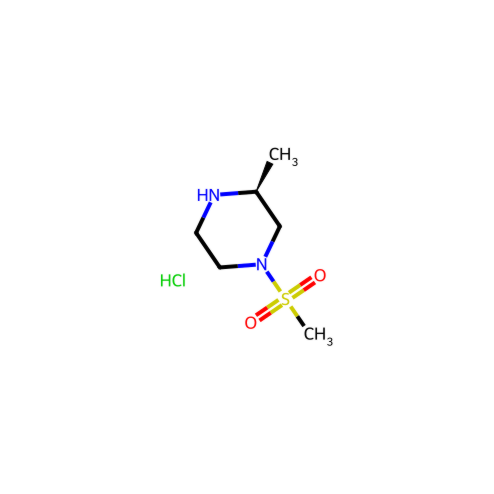 C[C@H]1CN(S(C)(=O)=O)CCN1.Cl